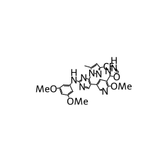 COc1cc(Nc2ncc(-c3cnc(OC)c(C4=NNCO4)c3)c(-n3nc(C(F)(F)F)cc3C)n2)cc(OC)c1